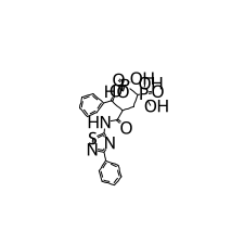 O=C(Nc1nc(-c2ccccc2)ns1)C(CC(P(=O)(O)O)P(=O)(O)O)C(=O)c1ccccc1